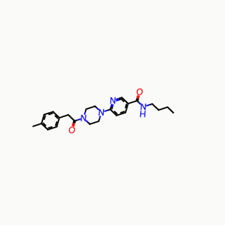 CCCCNC(=O)c1ccc(N2CCN(C(=O)Cc3ccc(C)cc3)CC2)nc1